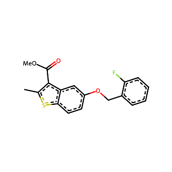 COC(=O)c1c(C)sc2ccc(OCc3ccccc3F)cc12